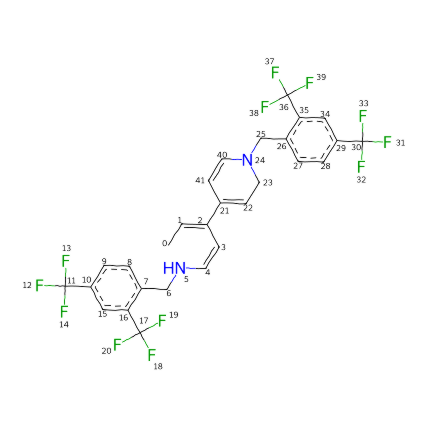 C/C=C(\C=C/NCc1ccc(C(F)(F)F)cc1C(F)(F)F)C1=CCN(Cc2ccc(C(F)(F)F)cc2C(F)(F)F)C=C1